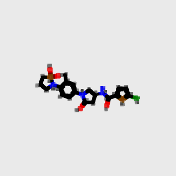 Cc1cc(N2C[C@H](NC(=O)c3ccc(Br)s3)CC2=O)ccc1N1CCCS1(=O)=O